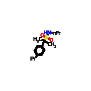 CCCNS(=O)(=O)C(C)(C)c1ccc(C(C)C)cc1